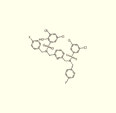 O=S(=O)(c1cc(Cl)cc(Cl)c1)N(Cc1ccc(F)cc1)Cc1cccc(CN(Cc2ccc(F)cc2)S(=O)(=O)c2cc(Cl)cc(Cl)c2O)n1